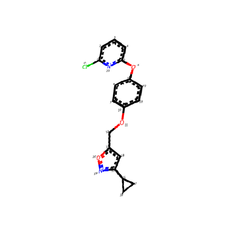 Clc1cccc(Oc2ccc(OCc3cc(C4CC4)no3)cc2)n1